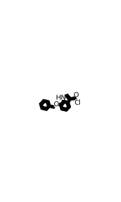 O=C(Cl)c1c[nH]c2c(OCc3ccccc3)cccc12